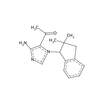 CC(=O)c1c(N)ncn1C1c2ccccc2CC1(C)C